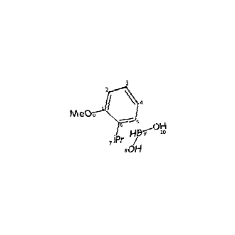 COc1ccccc1C(C)C.OBO